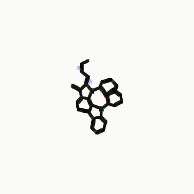 C=c1/c(=C\C=C/C)n(-c2ccccc2)c2c1ccc1c3ccccc3n(-c3ccccc3)c12